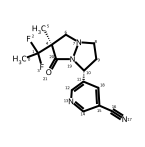 CC(F)(F)[C@@]1(C)CN2CC[C@H](c3cncc(C#N)c3)N2C1=O